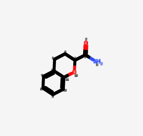 NC(=O)C1CCc2ccccc2O1